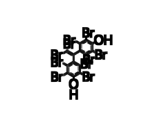 Oc1c(Br)c(Br)c(C(=C(Br)Br)c2c(Br)c(Br)c(O)c(Br)c2Br)c(Br)c1Br